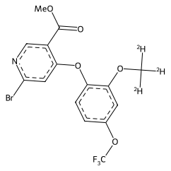 [2H]C([2H])([2H])Oc1cc(OC(F)(F)F)ccc1Oc1cc(Br)ncc1C(=O)OC